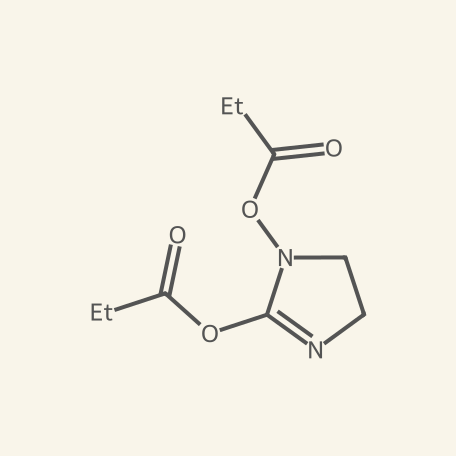 CCC(=O)OC1=NCCN1OC(=O)CC